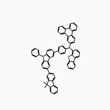 CC1(C)c2ccccc2-c2ccc(-c3ccc4c(c3)c3cc(-c5ccc(N(c6ccc7c8ccccc8c8ccccc8c7c6)c6cccc7c6sc6ccccc67)cc5)ccc3n4-c3ccccc3)cc21